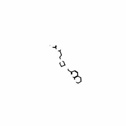 CC(C)(C)OC(=O)NC(CCN1CC[C@@H](OCc2ccc3c(n2)NCCC3)C1)C(=O)O